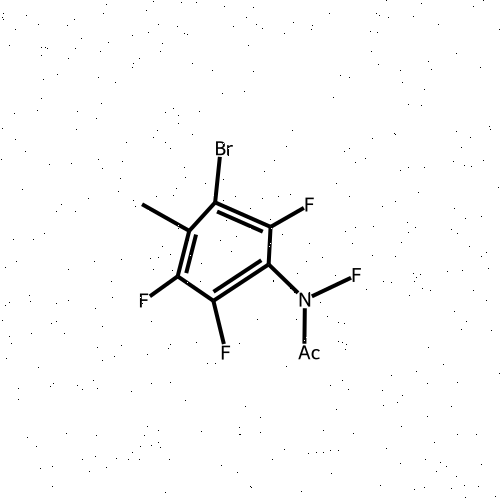 CC(=O)N(F)c1c(F)c(F)c(C)c(Br)c1F